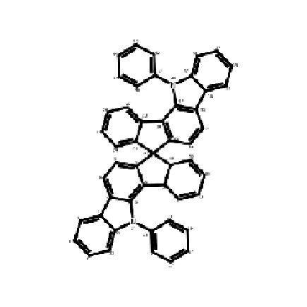 C1=CC2c3c(ccc4c5ccccc5n(-c5ccccc5)c34)C3(c4ccccc4-c4c3ccc3c5ccccc5n(-c5ccccc5)c43)C2C=C1